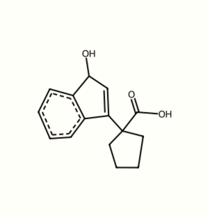 O=C(O)C1(C2=CC(O)c3ccccc32)CCCC1